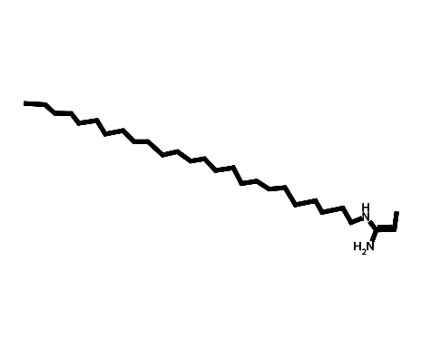 CC=C(N)NCCCCCCCCCCCCCCCCCCCCCCCCC